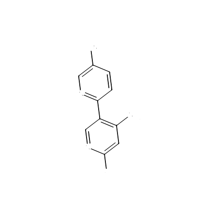 N#Cc1ccc(-c2cnc(Cl)cc2N)nc1